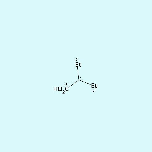 C[CH]C(CC)C(=O)O